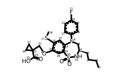 CCCC[C@@H]1CN(c2ccc(F)cc2)c2cc(SC)c(OCC3(C(=O)O)CC3)cc2S(=O)(=O)N1